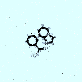 NC(=O)c1ccccc1.c1ccn2ccnc2c1